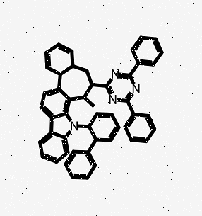 CC1c2c(ccc3c4ccccc4n(C4C=CC=CC4c4ccccc4)c23)C2C=CC=CC2CC1c1nc(-c2ccccc2)nc(-c2ccccc2)n1